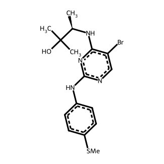 CSc1ccc(Nc2ncc(Br)c(N[C@H](C)C(C)(C)O)n2)cc1